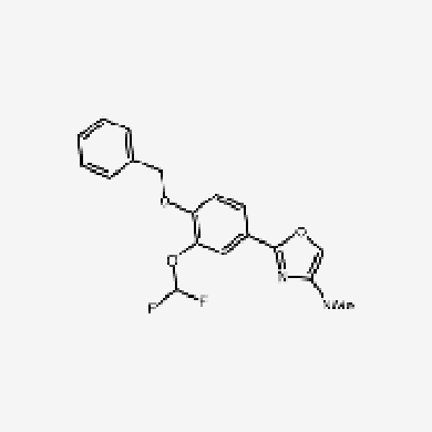 CNc1coc(-c2ccc(OCc3ccccc3)c(OC(F)F)c2)n1